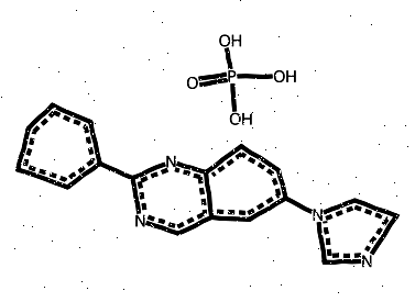 O=P(O)(O)O.c1ccc(-c2ncc3cc(-n4ccnc4)ccc3n2)cc1